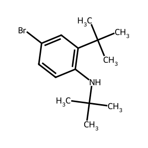 CC(C)(C)Nc1ccc(Br)cc1C(C)(C)C